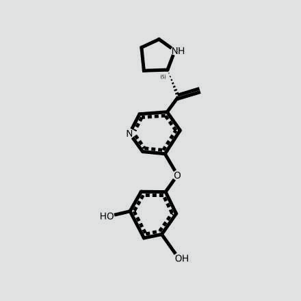 C=C(c1cncc(Oc2cc(O)cc(O)c2)c1)[C@@H]1CCCN1